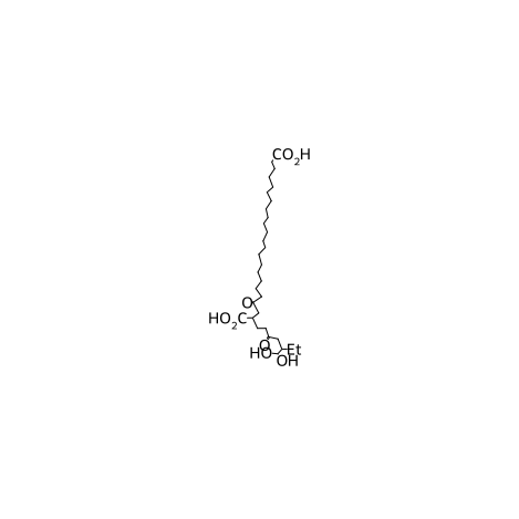 CCC(CC(=O)CCC(CC(=O)CCCCCCCCCCCCCCCCCCC(=O)O)C(=O)O)C(O)O